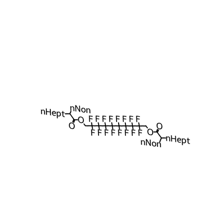 CCCCCCCCCC(CCCCCCC)C(=O)OCC(F)(F)C(F)(F)C(F)(F)C(F)(F)C(F)(F)C(F)(F)C(F)(F)C(F)(F)COC(=O)C(CCCCCCC)CCCCCCCCC